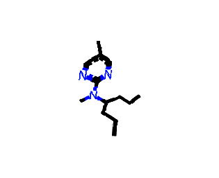 CCCC(CCC)N(C)c1ncc(C)cn1